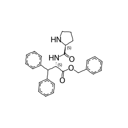 O=C(N[C@H](C(=O)OCc1ccccc1)C(c1ccccc1)c1ccccc1)[C@@H]1CCCN1